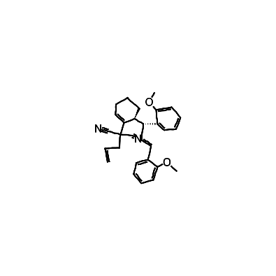 C=CCC(C#N)(C#N)C1=CCCC[C@H]1[C@@H](/C=C/c1ccccc1OC)c1ccccc1OC